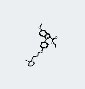 CCOC(=O)c1cc2cc(OC)ccc2n1-c1ccc(OCCCN2CCC[C@H]2C)cc1